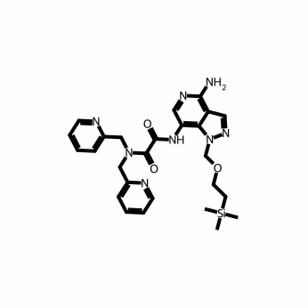 C[Si](C)(C)CCOCn1ncc2c(N)ncc(NC(=O)C(=O)N(Cc3ccccn3)Cc3ccccn3)c21